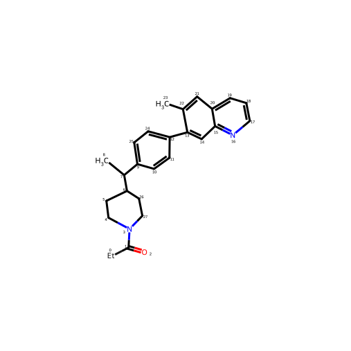 CCC(=O)N1CCC(C(C)c2ccc(-c3cc4ncccc4cc3C)cc2)CC1